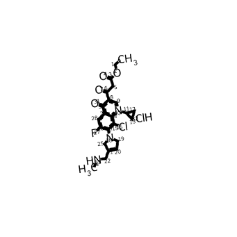 CCOC(=O)CC(=O)c1cn(C2CC2)c2c(Cl)c(N3CC=C(CNC)C3)c(F)cc2c1=O.Cl